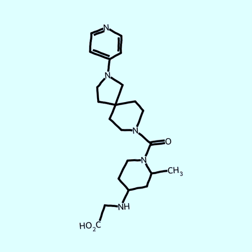 CC1CC(NCC(=O)O)CCN1C(=O)N1CCC2(CC1)CCN(c1ccncc1)C2